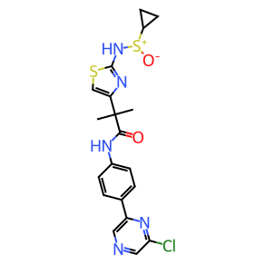 CC(C)(C(=O)Nc1ccc(-c2cncc(Cl)n2)cc1)c1csc(N[S+]([O-])C2CC2)n1